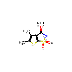 Cc1sc2c(c1C)C(=O)NS2(=O)=O.[NaH]